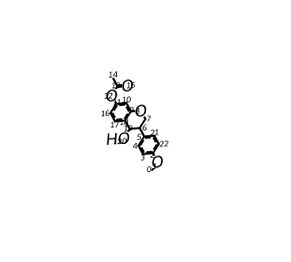 COc1ccc(C2COc3cc(OC(C)=O)ccc3C2O)cc1